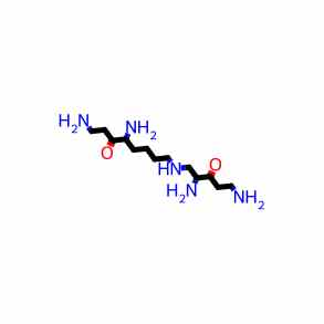 NCCC(=O)C(N)CCCCNCC(N)C(=O)CCN